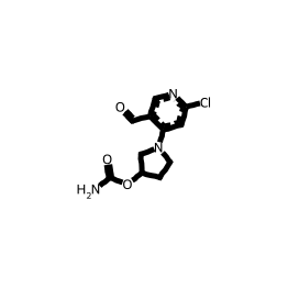 NC(=O)OC1CCN(c2cc(Cl)ncc2C=O)C1